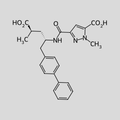 C[C@H](C[C@@H](Cc1ccc(-c2ccccc2)cc1)NC(=O)c1cc(C(=O)O)n(C)n1)C(=O)O